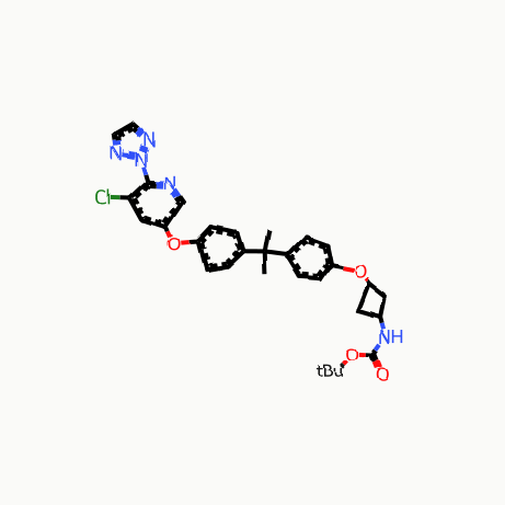 CC(C)(C)OC(=O)NC1CC(Oc2ccc(C(C)(C)c3ccc(Oc4cnc(-n5nccn5)c(Cl)c4)cc3)cc2)C1